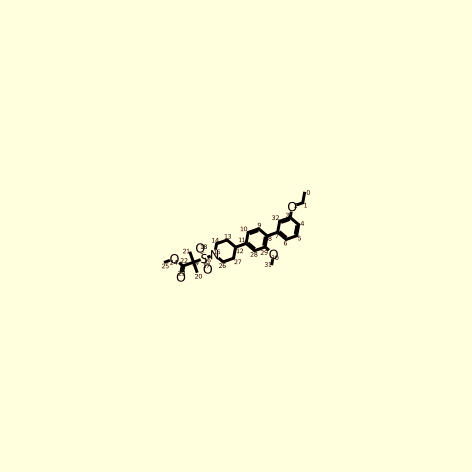 CCOc1cccc(-c2ccc(C3CCN(S(=O)(=O)C(C)(C)C(=O)OC)CC3)cc2OC)c1